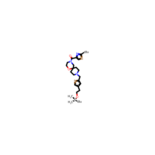 CC(C)(C)c1nc(C(=O)N2CCOC3(CCN(Cc4cc(CCO[Si](C)(C)C(C)(C)C)cs4)CC3)C2)cs1